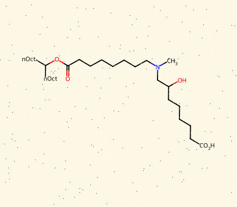 CCCCCCCCC(CCCCCCCC)OC(=O)CCCCCCCN(C)CC(O)CCCCCC(=O)O